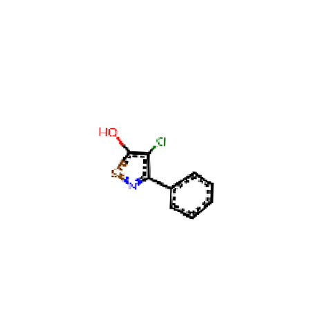 Oc1snc(-c2ccccc2)c1Cl